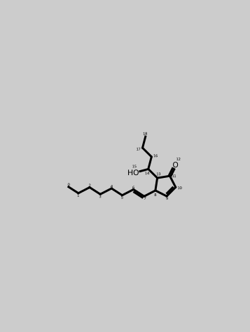 CCCCCCC=CC1C=CC(=O)C1C(O)CCC